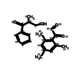 CC(CO)C(=O)c1ccccc1.Cc1cc(C)c(C(=O)P=O)c(C)c1